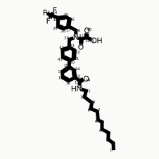 CCCCCCCCCCCCNC(=O)c1cccc(-c2ccc(CN(Cc3ccc(C(F)(F)F)cc3)C(=O)C(=O)O)cc2)c1